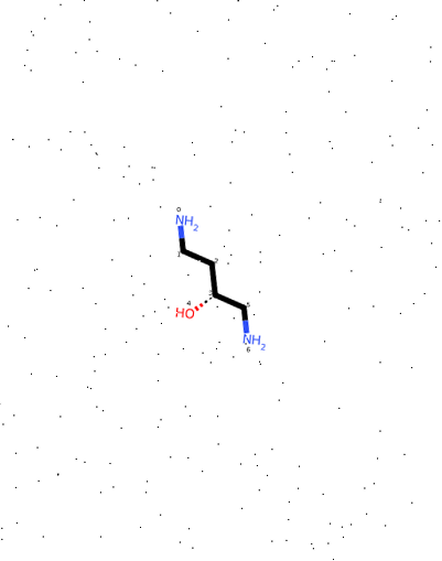 NCC[C@@H](O)CN